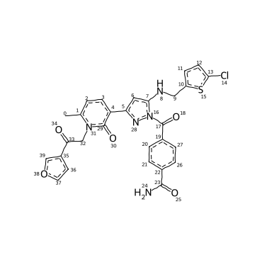 Cc1ccc(-c2cc(NCc3ccc(Cl)s3)n(C(=O)c3ccc(C(N)=O)cc3)n2)c(=O)n1CC(=O)c1ccoc1